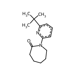 CC(C)(C)c1cccc(N2CCCCCC2=O)n1